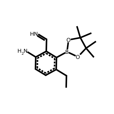 CCc1ccc(N)c(C=N)c1B1OC(C)(C)C(C)(C)O1